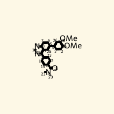 COc1ccc(-c2ccc3ncnc(-c4ccc(C(=O)N(C)C)cc4)c3c2)cc1OC